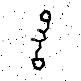 O=C(Cc1ccccc1)CC(O)CCc1ccccc1